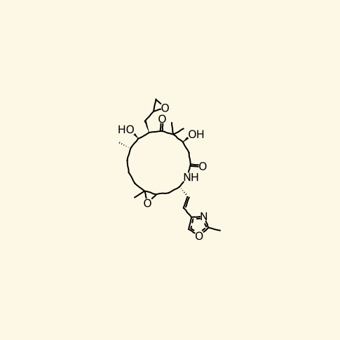 Cc1nc(C=C[C@@H]2CC3OC3(C)CCC[C@H](C)[C@@H](O)[C@@H](CC3CO3)C(=O)C(C)(C)[C@@H](O)CC(=O)N2)co1